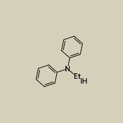 CCN(c1ccccc1)c1ccccc1.I